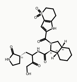 O=C(CO)C(C[C@@H]1CCNC1=O)NC(=O)[C@@H]1[C@H]2CCCC[C@H]2CN1C(=O)c1cc2c([nH]1)CCCS2(=O)=O